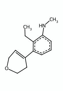 CCc1c(NC)cccc1C1=CCOCC1